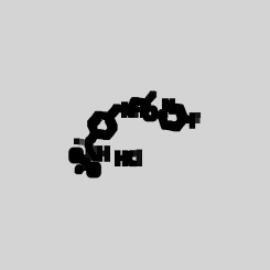 C[C@H](CNCc1ccc([C@@H](C)NS(C)(=O)=O)cc1)Oc1ccc(F)cn1.Cl